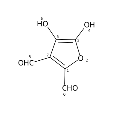 O=Cc1oc(O)c(O)c1C=O